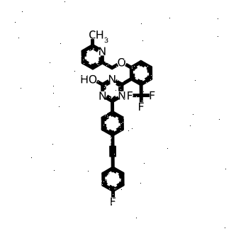 Cc1cccc(COc2cccc(C(F)(F)F)c2-c2nc(O)nc(-c3ccc(C#Cc4ccc(F)cc4)cc3)n2)n1